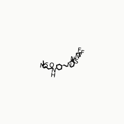 Cc1ncc(CC(=O)N[C@H]2CC[C@H](CCN3CCc4sc(N5CC(F)(F)C5)nc4C3)CC2)s1